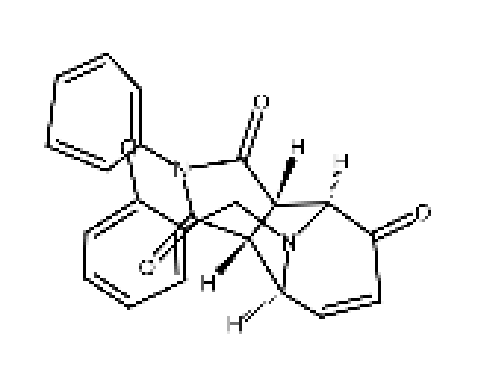 O=C1C=C[C@H]2[C@@H]3C(=O)N(c4ccccc4)C(=O)[C@@H]3[C@@H]1N2Cc1ccccc1Cl